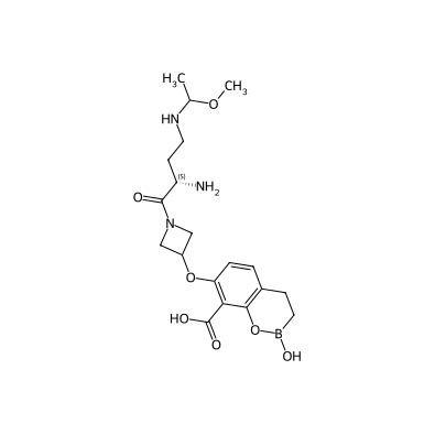 COC(C)NCC[C@H](N)C(=O)N1CC(Oc2ccc3c(c2C(=O)O)OB(O)CC3)C1